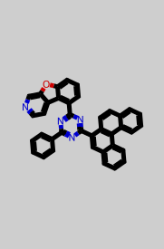 c1ccc(-c2nc(-c3cc4ccccc4c4c3ccc3ccccc34)nc(-c3cccc4oc5cnccc5c34)n2)cc1